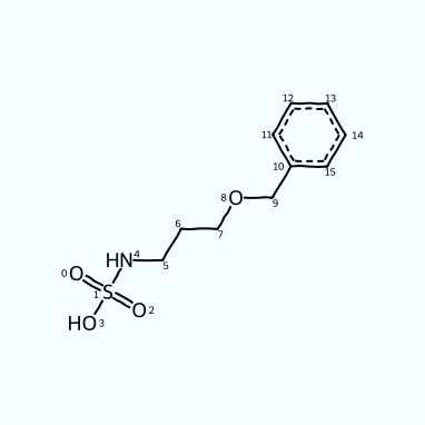 O=S(=O)(O)NCCCOCc1ccccc1